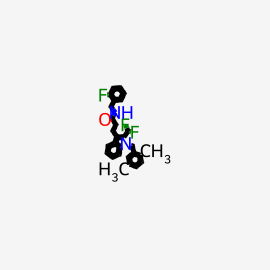 Cc1ccc(C)c(Cn2c(C(F)F)c(CCC(=O)NCc3ccccc3F)c3ccccc32)c1